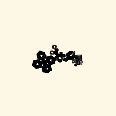 CNS(=O)(=O)Nc1cc(CN2CN(c3ccc(C(c4ccccc4)(c4ccccc4)c4ccccc4)cc3)C(C(=O)C=O)C2(C)C)ccn1